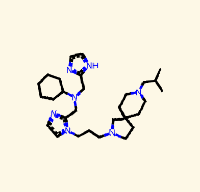 CC(C)CN1CCC2(CC1)CCN(CCCn1ccnc1CN(Cc1ncc[nH]1)C1CCCCC1)C2